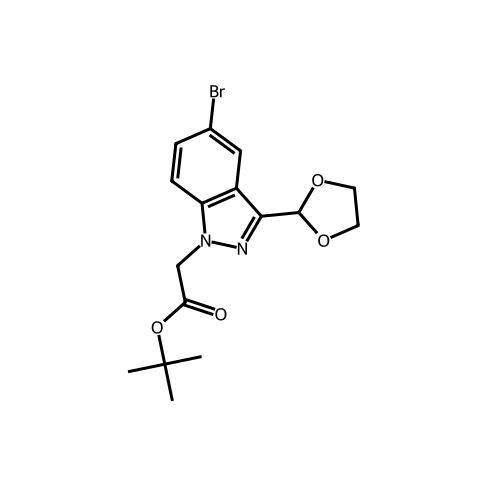 CC(C)(C)OC(=O)Cn1nc(C2OCCO2)c2cc(Br)ccc21